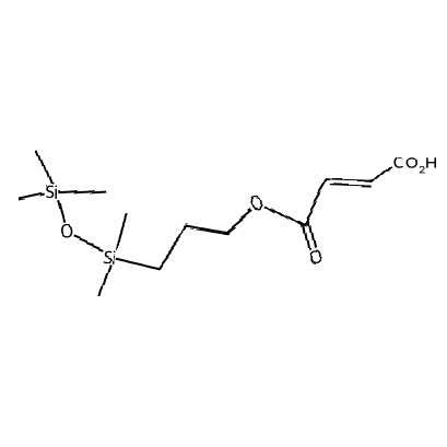 C[Si](C)(C)O[Si](C)(C)CCCOC(=O)/C=C/C(=O)O